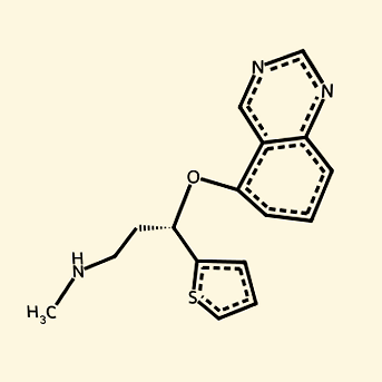 CNCC[C@H](Oc1cccc2ncncc12)c1cccs1